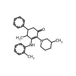 Cc1ccccc1NC1=C(N2CCCC(C)C2)C(=O)CC(c2ccccc2)C1C